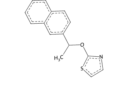 CC(Oc1nccs1)c1ccc2ccccc2c1